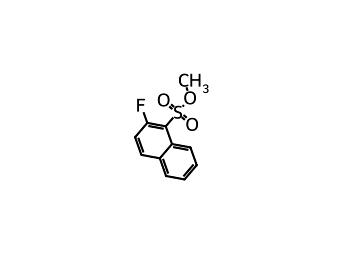 COS(=O)(=O)c1c(F)ccc2ccccc12